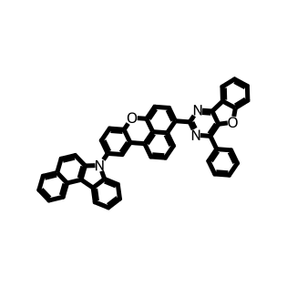 c1ccc(-c2nc(-c3ccc4c5c(cccc35)-c3cc(-n5c6ccccc6c6c7ccccc7ccc65)ccc3O4)nc3c2oc2ccccc23)cc1